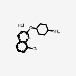 Cl.N#Cc1cccc2ccc(OC3CCC(N)CC3)nc12